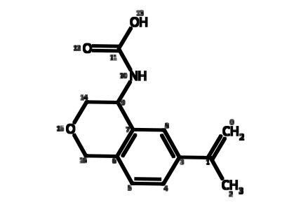 C=C(C)c1ccc2c(c1)C(NC(=O)O)COC2